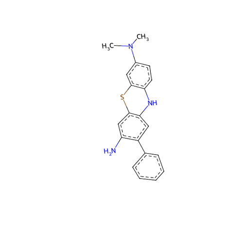 CN(C)c1ccc2c(c1)Sc1cc(N)c(-c3ccccc3)cc1N2